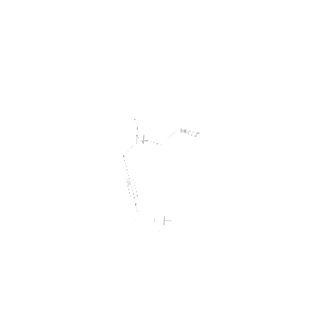 C=CCN(C)CC#CC(=O)O